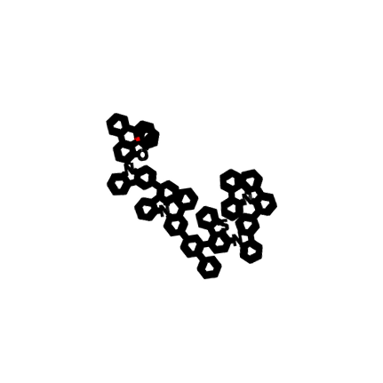 c1ccc(-c2ccccc2-c2ccc(-n3c4ccccc4c4cc(-c5cccc6c5c5ccccc5n6-c5ccc(-c6ccc(-c7ccccc7)c(-c7ccc(-n8c9ccccc9c9cc(-c%10cccc%11c%12ccccc%12n(-c%12ccccc%12-c%12ccccc%12)c%10%11)ccc98)c8sc9ccccc9c78)c6)cc5-c5ccccc5)ccc43)c3oc4ccccc4c23)cc1